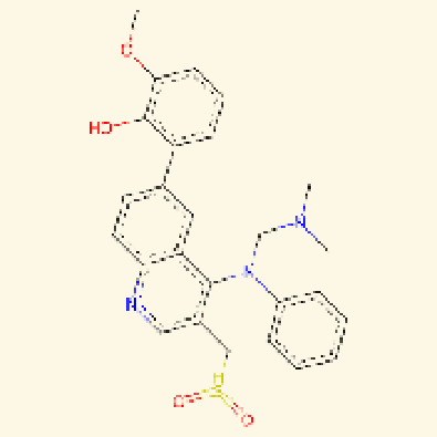 COc1cccc(-c2ccc3ncc(C[SH](=O)=O)c(N(CN(C)C)c4ccccc4)c3c2)c1O